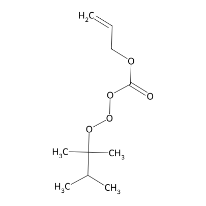 C=CCOC(=O)OOOC(C)(C)C(C)C